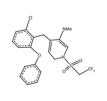 CNC1=CN(S(=O)(=O)CC(F)(F)F)CC=C1Cc1c(Cl)cccc1Oc1ccccc1